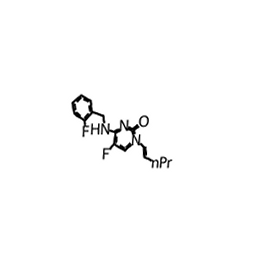 CCC/C=C/n1cc(F)c(NCc2ccccc2F)nc1=O